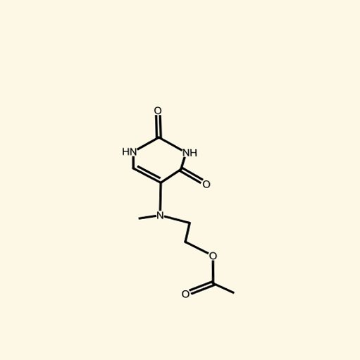 CC(=O)OCCN(C)c1c[nH]c(=O)[nH]c1=O